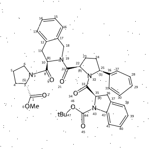 COC(=O)[C@@H]1CCCN1C(=O)[C@H]1Cc2ccccc2CN1C(=O)[C@H]1CC[C@@H](c2ccccc2)N1C(=O)[C@H]1Cc2ccccc2N1C(=O)OC(C)(C)C